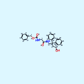 O=C(CNC(=O)OCc1ccccc1)NCC(CCO)(c1ccccc1)c1ccccc1